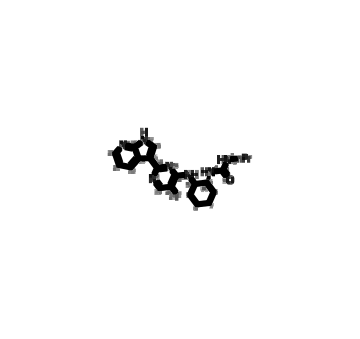 CCCNC(=O)N[C@@H]1CCCCC1Nc1nc(-c2c[nH]c3ncccc23)ncc1F